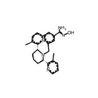 Cc1cccnc1[C@H]1CCC[C@@H](c2ncccc2C)N1Cc1cccc(C(N)=NO)c1